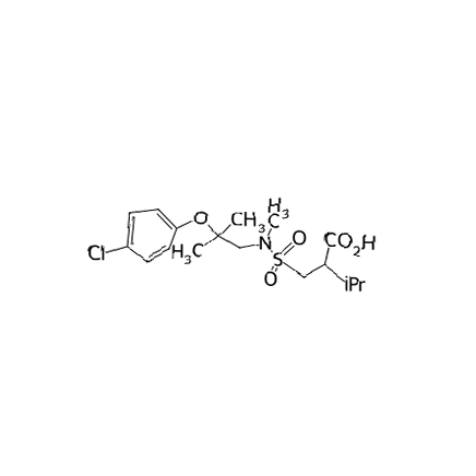 CC(C)C(CS(=O)(=O)N(C)CC(C)(C)Oc1ccc(Cl)cc1)C(=O)O